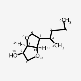 CCCC(C)C1CO[C@@H]2[C@H](O)CO[C@H]12